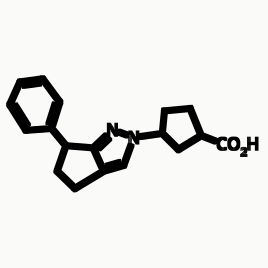 O=C(O)C1CCC(n2cc3c(n2)C(c2ccccc2)CC3)C1